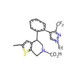 CCn1cc(-c2ccccc2C2CN(C(=O)O)Cc3sc(C)cc32)c(C(F)(F)F)n1